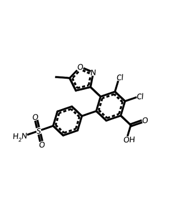 Cc1cc(-c2c(-c3ccc(S(N)(=O)=O)cc3)cc(C(=O)O)c(Cl)c2Cl)no1